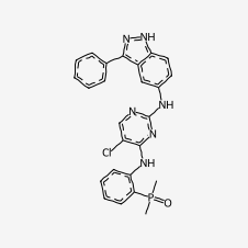 CP(C)(=O)c1ccccc1Nc1nc(Nc2ccc3[nH]nc(-c4ccccc4)c3c2)ncc1Cl